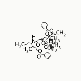 C=CCC(NC(=O)C[C@@H](CC[C@@]1(C)O[C@@H](c2ccccc2)O[C@H]1C=C)O[Si](C)(C)C(C)(C)C)C(C)=CCOC(=O)c1ccccc1